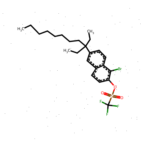 CCCCCCCCC(CC)(CC)c1ccc2c(Br)c(OS(=O)(=O)C(F)(F)F)ccc2c1